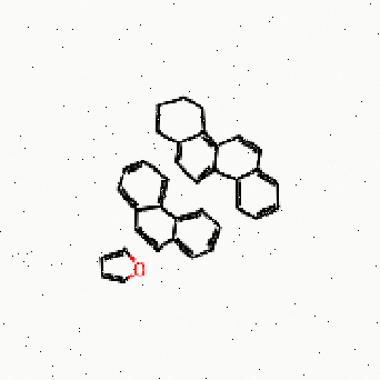 c1ccc2c(c1)ccc1c3c(ccc12)CCCC3.c1ccc2c(c1)ccc1ccccc12.c1ccoc1